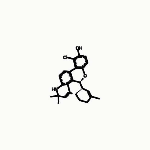 CC1=C[C@@H]([C@H]2Oc3ccc(O)c(Cl)c3-c3ccc4c(c32)C(C)=CC(C)(C)N4)CCC1